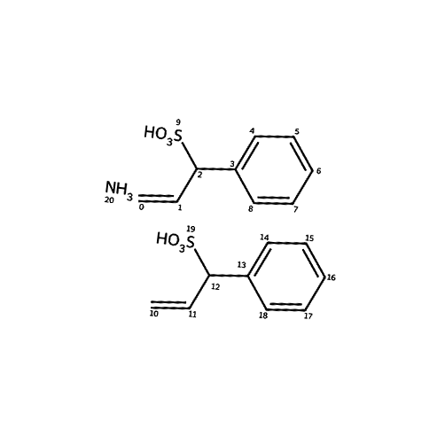 C=CC(c1ccccc1)S(=O)(=O)O.C=CC(c1ccccc1)S(=O)(=O)O.N